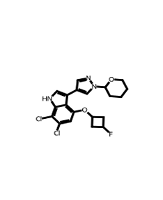 FC1CC(Oc2cc(Cl)c(Cl)c3[nH]cc(-c4cnn(C5CCCCO5)c4)c23)C1